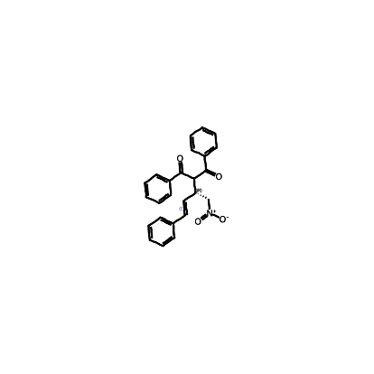 O=C(c1ccccc1)C(C(=O)c1ccccc1)[C@@H](/C=C/c1ccccc1)C[N+](=O)[O-]